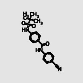 CC(C)(C)S(=O)(=O)Nc1ccc(C(=O)Nc2ccc(C#N)cc2)cc1